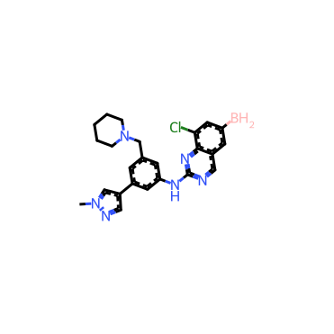 Bc1cc(Cl)c2nc(Nc3cc(CN4CCCCC4)cc(-c4cnn(C)c4)c3)ncc2c1